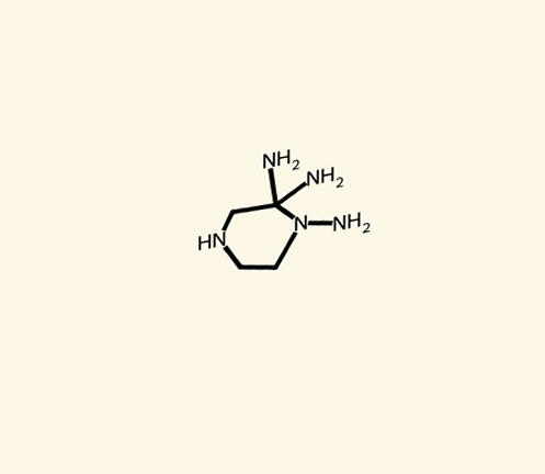 NN1CCNCC1(N)N